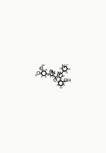 COc1ccc(-c2cc(C(=O)N3N=C(c4cccnc4)CC3c3ccccc3O)no2)cc1OC